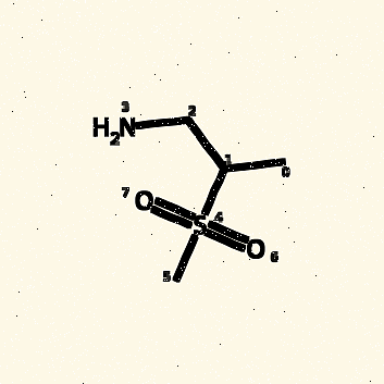 C[C](CN)S(C)(=O)=O